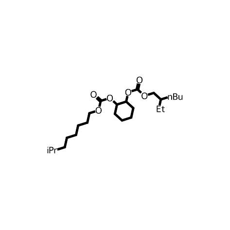 CCCCC(CC)COC(=O)OC1CCCCC1OC(=O)OCCCCCCC(C)C